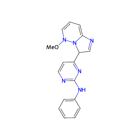 CON1C=CC=C2N=CC(c3ccnc(Nc4ccccc4)n3)N21